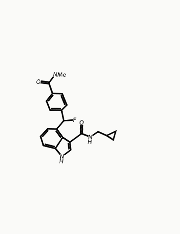 CNC(=O)c1ccc(C(F)c2cccc3[nH]cc(C(=O)NCC4CC4)c23)cc1